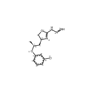 C[C@@H](C[C@H]1COC(NN=N)=N1)Oc1cccc(Cl)c1